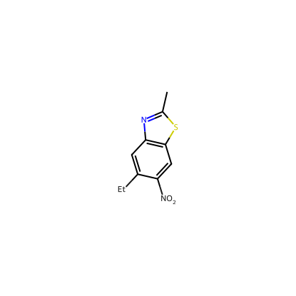 CCc1cc2nc(C)sc2cc1[N+](=O)[O-]